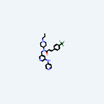 CCCN1CCC(N(Cc2cncc(Nc3ccncc3)c2)C(=O)/C=C/c2ccc(C(F)(F)F)cc2)CC1